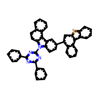 c1ccc(-c2nc(-c3ccccc3)nc(-n3c4ccc(-c5cc6sc7ccccc7c6c6ccccc56)cc4c4c5ccccc5ccc43)n2)cc1